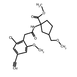 C#Cc1cc(Cl)c(CC(=O)NC2(C(=O)OC)CCC(COC)C2)c(OC)c1